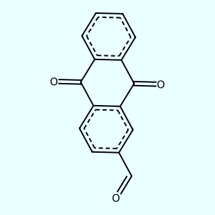 O=Cc1ccc2c(c1)C(=O)c1ccccc1C2=O